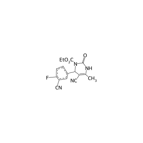 CCOC(=O)N1C(=O)NC(C)=C(C#N)C1c1ccc(F)c(C#N)c1